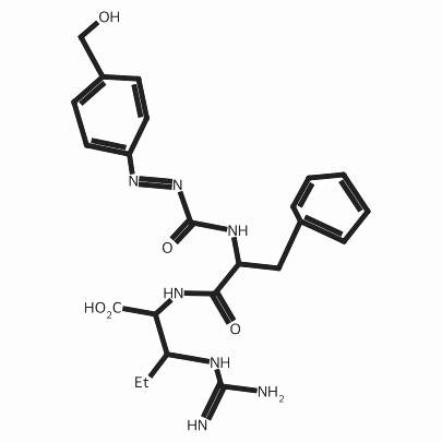 CCC(NC(=N)N)C(NC(=O)C(Cc1ccccc1)NC(=O)/N=N/c1ccc(CO)cc1)C(=O)O